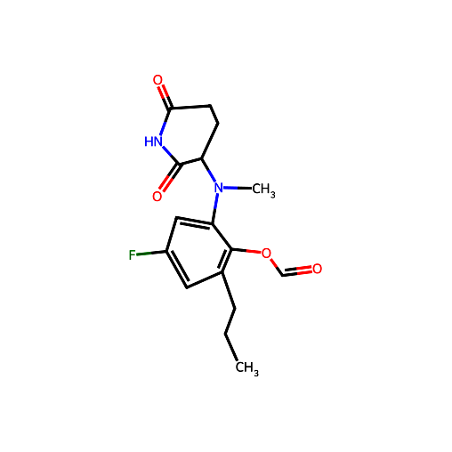 CCCc1cc(F)cc(N(C)C2CCC(=O)NC2=O)c1OC=O